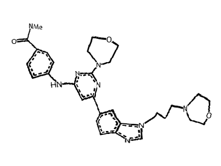 CNC(=O)c1ccc(Nc2cc(-c3ccc4ncn(CCCN5CCOCC5)c4c3)nc(N3CCOCC3)n2)cc1